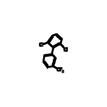 FC(F)(F)c1[c]ccc(-c2c(Cl)cccc2Cl)c1